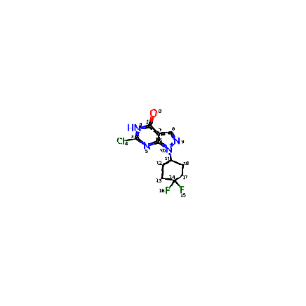 O=c1[nH]c(Cl)nc2c1cnn2C1CCC(F)(F)CC1